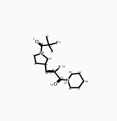 CC(C)(F)C(=O)N1CCC(/C=C(\F)C(=O)N2CCCCC2)C1